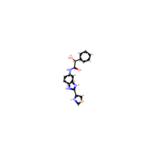 O=C(Nc1ccc2[nH]c(-c3cscn3)nc2c1)C(O)c1ccccc1